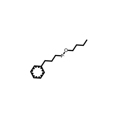 CCCCO[P]CCCc1ccccc1